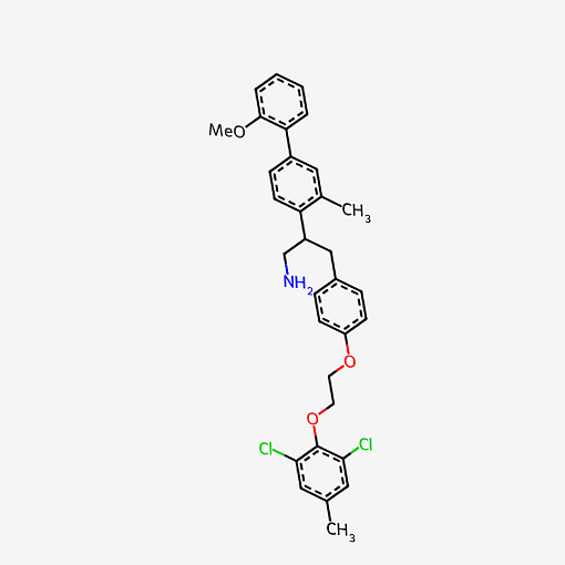 COc1ccccc1-c1ccc(C(CN)Cc2ccc(OCCOc3c(Cl)cc(C)cc3Cl)cc2)c(C)c1